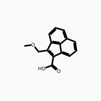 COCC1=C(C(=O)O)c2cccc3cccc1c23